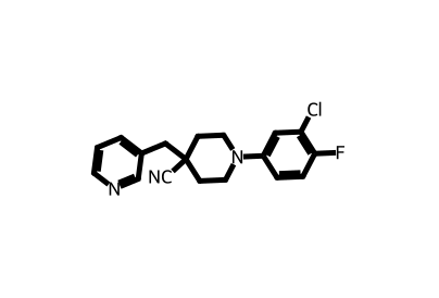 N#CC1(Cc2cccnc2)CCN(c2ccc(F)c(Cl)c2)CC1